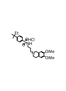 CCC(C)(C)c1ccc(S(=O)(=O)NCCCN2CCc3cc(OC)c(OC)cc3C2)cc1.Cl